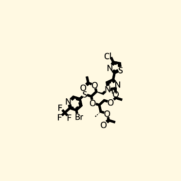 CC(=O)OCC(OC(Sc1cnc(C(F)(F)F)c(Br)c1)[C@H](Cn1cc(-c2nc(Cl)cs2)nn1)OC(C)=O)[C@@H](C)OC(C)=O